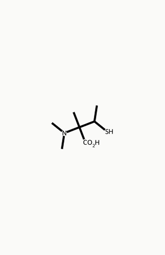 CC(S)C(C)(C(=O)O)N(C)C